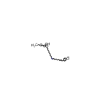 CCCCOCCOP(O)OCCCCCCCC/C=C\CCCCCCCCc1ccc(Cl)cc1